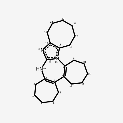 C1CCC2=C(CC1)C1=C(CCCCC1)n1c(nc3c1CCCCCC3)N2